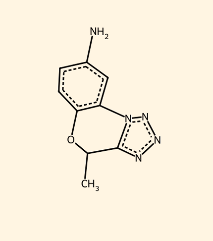 CC1Oc2ccc(N)cc2-n2nnnc21